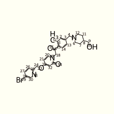 Cc1cc(CN2CCC(CO)CC2)ccc1C(=O)Cn1ccc(OCc2ccc(Br)cn2)cc1=O